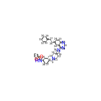 CCS(=O)(=O)Nc1ccc(CN2CCC3(CC2)CN(c2ncnc4ccc(CCc5ccccc5)cc24)C3)cc1